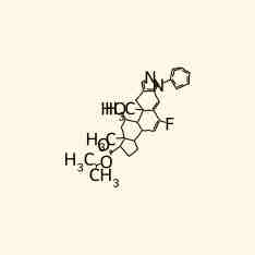 CC(C)OC(=O)C1CCC2C3C=C(F)C4=Cc5c(cnn5-c5ccccc5)CC4(C)C3C(O)CC12C